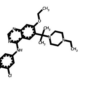 CCOc1cc2ncnc(Nc3ccc(F)c(Cl)c3)c2cc1C(C)(C)N1CCN(CC)CC1